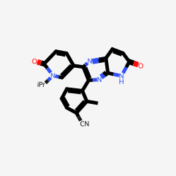 Cc1c(C#N)cccc1-c1nc2[nH]c(=O)ccc2nc1-c1ccc(=O)n(C(C)C)c1